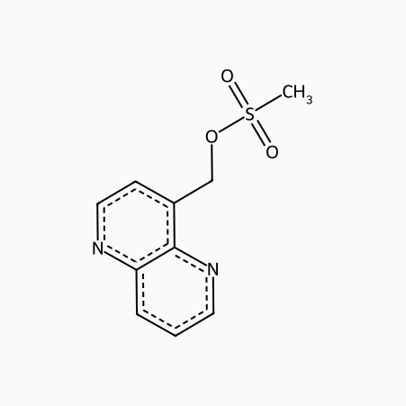 CS(=O)(=O)OCc1ccnc2cccnc12